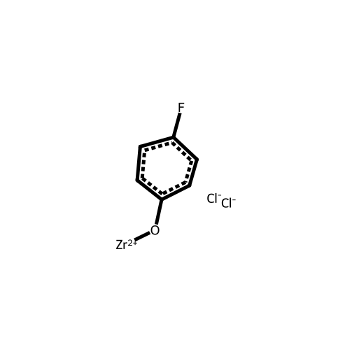 Fc1ccc([O][Zr+2])cc1.[Cl-].[Cl-]